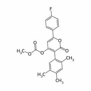 COC(=O)Oc1cc(-c2ccc(F)cc2)oc(=O)c1-c1cc(C)c(C)cc1C